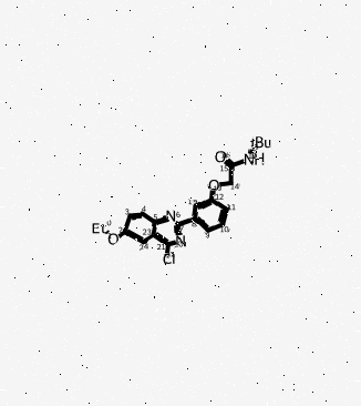 CCOc1ccc2nc(-c3cccc(OCC(=O)NC(C)(C)C)c3)nc(Cl)c2c1